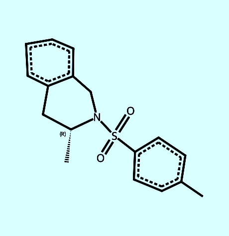 Cc1ccc(S(=O)(=O)N2Cc3ccccc3C[C@H]2C)cc1